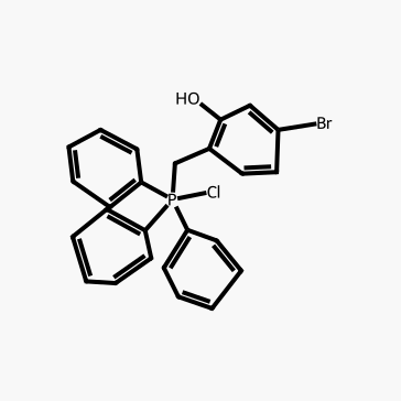 Oc1cc(Br)ccc1CP(Cl)(c1ccccc1)(c1ccccc1)c1ccccc1